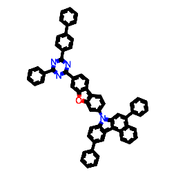 c1ccc(-c2ccc(-c3nc(-c4ccccc4)nc(-c4ccc5c(c4)oc4cc(-n6c7ccc(-c8ccccc8)cc7c7c8ccccc8c(-c8ccccc8)cc76)ccc45)n3)cc2)cc1